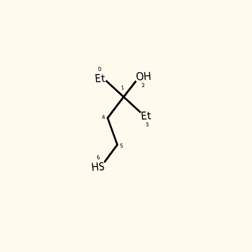 CCC(O)(CC)CCS